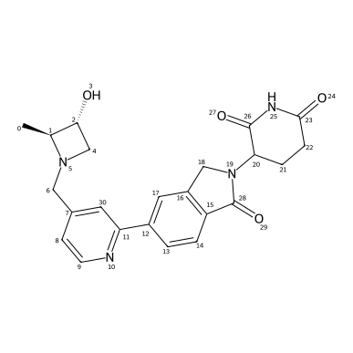 C[C@H]1[C@H](O)CN1Cc1ccnc(-c2ccc3c(c2)CN(C2CCC(=O)NC2=O)C3=O)c1